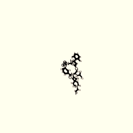 Cc1cccc(C)c1-c1cc2nc(n1)NS(=O)(=O)c1cccc(c1)C(=O)N(C1CC3(CCN(CCF)CC3)C1)[C@H](CC(C)C)CO2